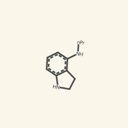 CCCNc1cccc2c1CCN2